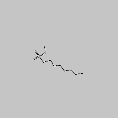 CCCCCCCCS(=O)(=O)OI